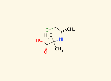 C=C(CCl)NC(C)(C)C(=O)O